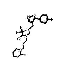 CC1CCCCN1CCCN(CCCc1cnoc1-c1ccc(F)cc1)C(=O)C(F)(F)F